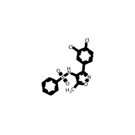 Cc1onc(-c2ccc(Cl)c(Cl)c2)c1NS(=O)(=O)c1ccccc1